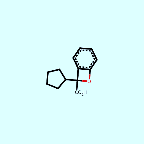 O=C(O)C1(C2CCCC2)Oc2ccccc21